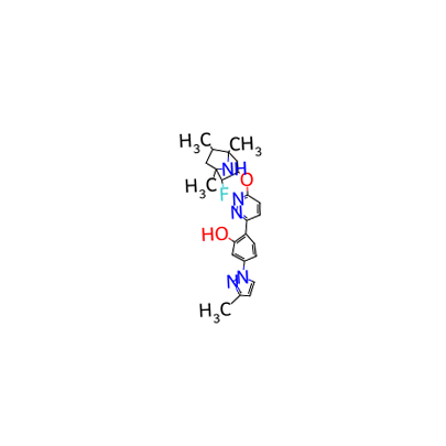 Cc1ccn(-c2ccc(-c3ccc(OC4CC5(C)NC(C)(CC5C)C4F)nn3)c(O)c2)n1